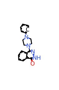 O=c1[nH]nc(N2CCN(c3ccccc3)CC2)c2ccccc12